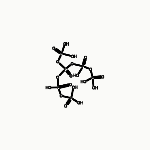 O=P(O)(O)OP(=O)(O)OP(=O)(OP(=O)(O)O)OP(=O)(O)OP(=O)(O)O